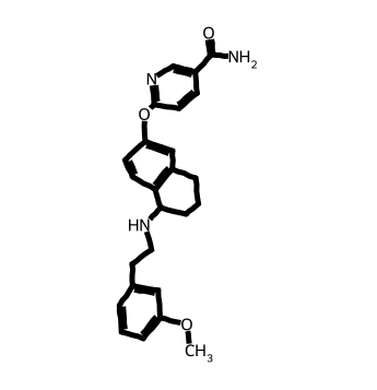 COc1cccc(CCNC2CCCc3cc(Oc4ccc(C(N)=O)cn4)ccc32)c1